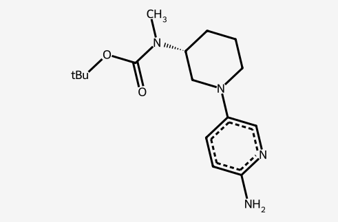 CN(C(=O)OC(C)(C)C)[C@@H]1CCCN(c2ccc(N)nc2)C1